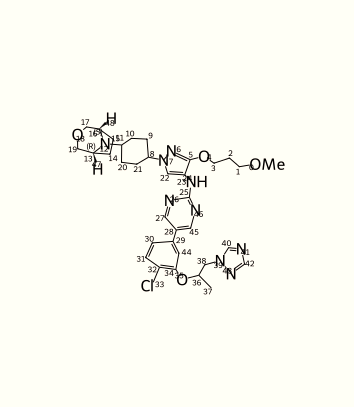 COCCCOc1nn(C2CCC(N3[C@@H]4CC[C@H]3COC4)CC2)cc1Nc1ncc(-c2ccc(Cl)c(OC(C)Cn3cncn3)c2)cn1